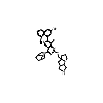 C#Cc1cccc2cc(O)cc(-c3ncc4c(N5CC6CCC(C5)N6)nc(OCC56CCCN5C5CNCC5C6)nc4c3F)c12